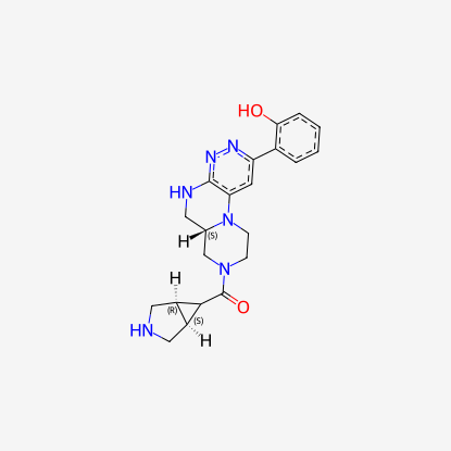 O=C(C1[C@H]2CNC[C@@H]12)N1CCN2c3cc(-c4ccccc4O)nnc3NC[C@H]2C1